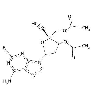 C#C[C@]1(COC(C)=O)O[C@@H](n2cnc3c(N)nc(F)nc32)C[C@H]1OC(C)=O